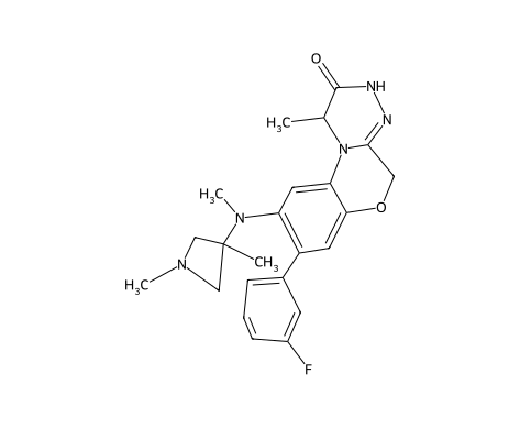 CC1C(=O)NN=C2COc3cc(-c4cccc(F)c4)c(N(C)C4(C)CN(C)C4)cc3N21